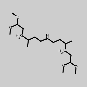 COC(C[SiH2]C(C)CCNCCC(C)[SiH2]CC(OC)OC)OC